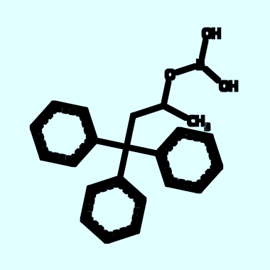 CC(CC(c1ccccc1)(c1ccccc1)c1ccccc1)OB(O)O